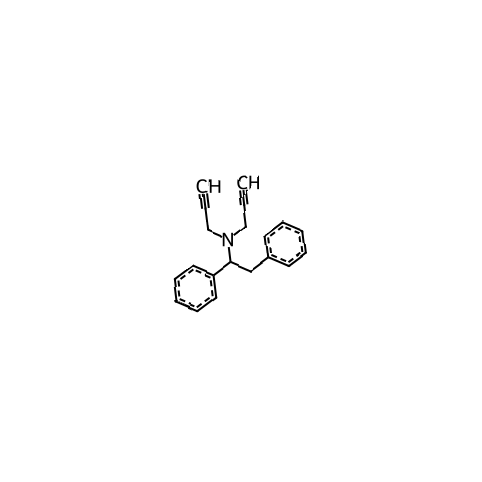 C#CCN(CC#C)C(Cc1ccccc1)c1ccccc1